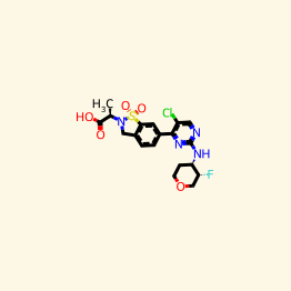 C[C@H](C(=O)O)N1Cc2ccc(-c3nc(N[C@H]4CCOC[C@H]4F)ncc3Cl)cc2S1(=O)=O